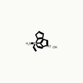 C=[CH][Zr](=[SiH2])([CH]=C)([C]1=CC=CC1)[C]1=CC=CC1.Cl.Cl